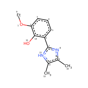 CCOc1cccc(-c2nc(C)c(C)[nH]2)c1O